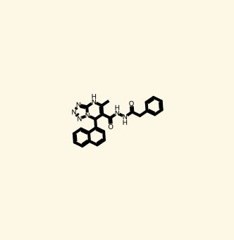 CC1=C(C(=O)NNC(=O)Cc2ccccc2)C(c2cccc3ccccc23)n2nnnc2N1